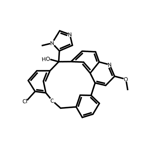 COc1cc2c3cc(ccc3n1)C(O)(c1cncn1C)c1ccc(Cl)c(c1)CCc1cccc-2c1